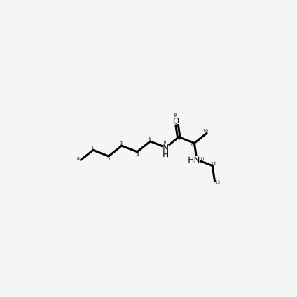 CCCCCCNC(=O)C(C)NCC